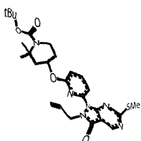 C=CCn1c(=O)c2cnc(SC)nc2n1-c1cccc(OC2CCN(C(=O)OC(C)(C)C)C(C)(C)C2)n1